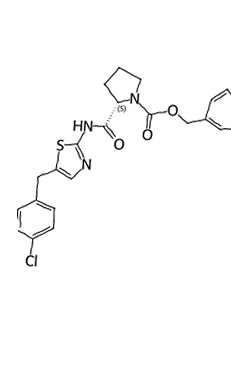 O=C(Nc1ncc(Cc2ccc(Cl)cc2)s1)[C@@H]1CCCN1C(=O)OCc1ccccc1